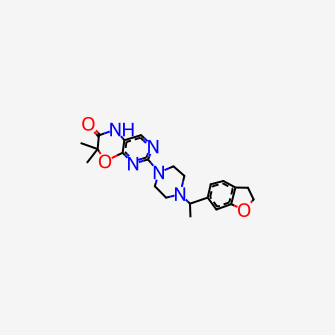 CC(c1ccc2c(c1)OCC2)N1CCN(c2ncc3c(n2)OC(C)(C)C(=O)N3)CC1